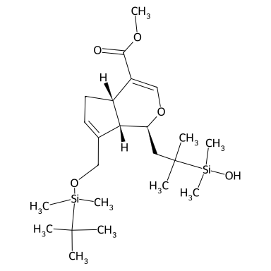 COC(=O)C1=CO[C@@H](CC(C)(C)[Si](C)(C)O)[C@@H]2C(CO[Si](C)(C)C(C)(C)C)=CC[C@H]12